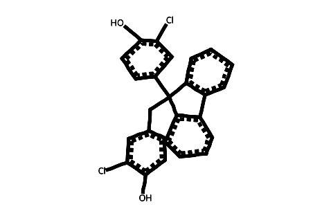 Oc1ccc(CC2(c3ccc(O)c(Cl)c3)c3ccccc3-c3ccccc32)cc1Cl